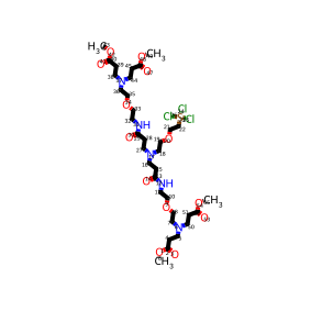 COC(=O)CCN(CCOCCNC(=O)CCN(CCOCCS(Cl)(Cl)Cl)CCC(=O)NCCOCCN(CCC(=O)OC)CCC(=O)OC)CCC(=O)OC